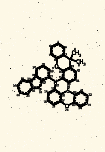 CC1(C)c2ccccc2Oc2c(N(c3cccc4c3Sc3ccccc3O4)c3cccc4c3sc3ccccc34)cccc21